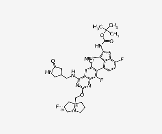 CC(C)(C)OC(=O)Nc1sc2c(F)ccc(-c3c(Cl)cc4c(NCC5CNC(=O)C5)nc(OC[C@@]56CCCN5C[C@H](F)C6)nc4c3F)c2c1C#N